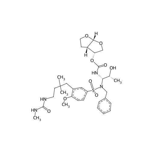 CNC(=O)NCCC(C)(C)Cc1cc(S(=O)(=O)N(Cc2ccccc2)[C@H](NC(=O)O[C@H]2CO[C@H]3OCC[C@H]32)[C@@H](C)O)ccc1OC